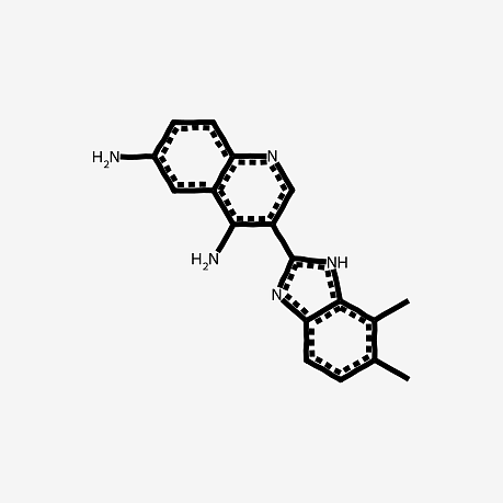 Cc1ccc2nc(-c3cnc4ccc(N)cc4c3N)[nH]c2c1C